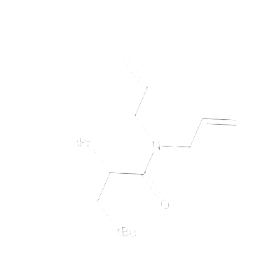 C=CCN(CC=C)C(=O)C(CC(C)(C)C)C(C)C